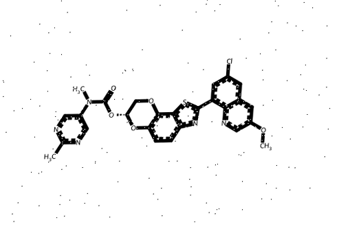 COc1cnc2c(-c3nc4ccc5c(c4s3)OC[C@@H](OC(=O)N(C)c3cnc(C)nc3)O5)cc(Cl)cc2c1